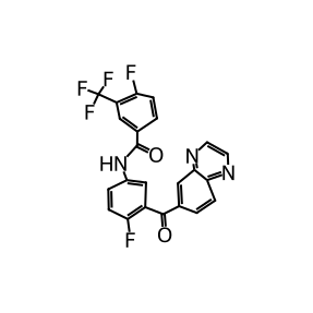 O=C(Nc1ccc(F)c(C(=O)c2ccc3nccnc3c2)c1)c1ccc(F)c(C(F)(F)F)c1